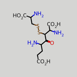 NC(CSSC(C(=O)C(N)CCC(=O)O)C(N)C(=O)O)C(=O)O